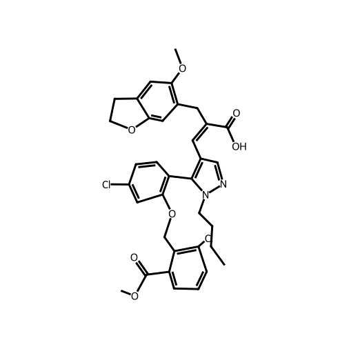 CCCCn1ncc(C=C(Cc2cc3c(cc2OC)CCO3)C(=O)O)c1-c1ccc(Cl)cc1OCc1c(Cl)cccc1C(=O)OC